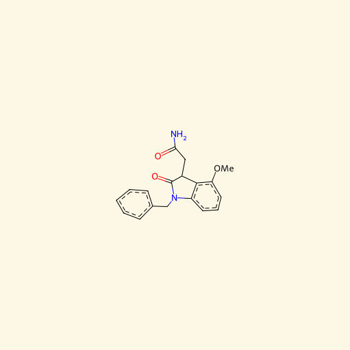 COc1cccc2c1C(CC(N)=O)C(=O)N2Cc1ccccc1